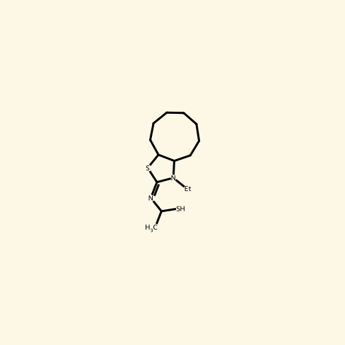 CCN1/C(=N\C(C)S)SC2CCCCCCCC21